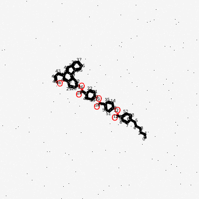 CCCCCCc1ccc(C(=O)Oc2ccc(C(=O)Oc3ccc(C(=O)Oc4ccc5c(c4)c4c6ccccc6cc4c4cccoc54)cc3)cc2)cc1